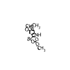 CCOC(=O)Oc1[nH]c2cc(OC)c(OC)cc2c1Br